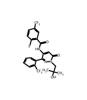 CC(C)(O)Cn1nc(-c2ccccc2C(F)(F)F)c(NC(=O)c2cc(C(F)(F)F)ccc2F)cc1=O